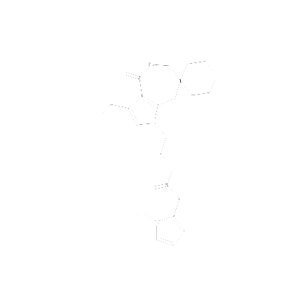 CCc1nn(CCOC(=O)Cc2cccn2C)c2c1C(=O)NCC1(CCOCC1)C2